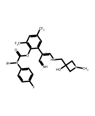 CC(C)N(C(=O)Oc1c(/C(C=N)=C/NCC2(O)CN(C)C2)cc(C(F)(F)F)cc1C(F)(F)F)c1ccc(F)cc1